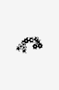 Cc1cc2cnc(N(C(=O)OC(C)(C)C)C(=O)OC(C)(C)C)nc2cc1C1CCN(C2COCC2O[Si](c2ccccc2)(c2ccccc2)C(C)(C)C)CC1